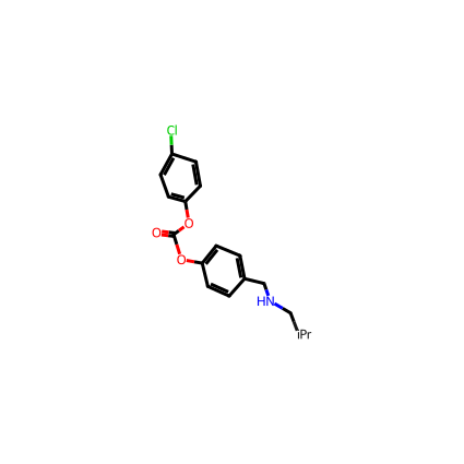 CC(C)CNCc1ccc(OC(=O)Oc2ccc(Cl)cc2)cc1